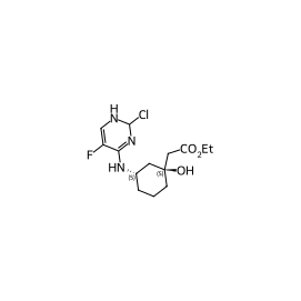 CCOC(=O)C[C@]1(O)CCC[C@H](NC2=NC(Cl)NC=C2F)C1